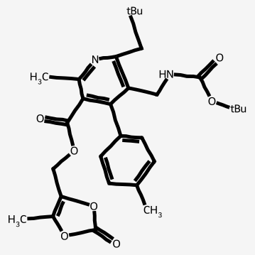 Cc1ccc(-c2c(CNC(=O)OC(C)(C)C)c(CC(C)(C)C)nc(C)c2C(=O)OCc2oc(=O)oc2C)cc1